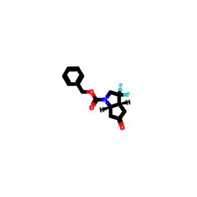 O=C1C[C@@H]2[C@H](C1)N(C(=O)OCc1ccccc1)CC2(F)F